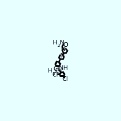 C[C@@H](Nc1cc(C2CCN(C3CCCN(CC(N)=O)C3)CC2)ccc1Cl)c1ccc(Cl)cc1Cl